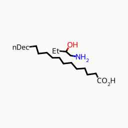 CCC(O)CN.CCCCCCCCCCCCCCCCCCCCCC(=O)O